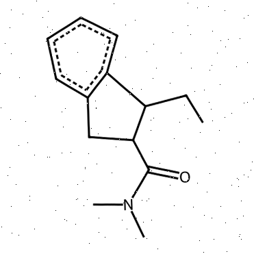 CCC1c2ccccc2CC1C(=O)N(C)C